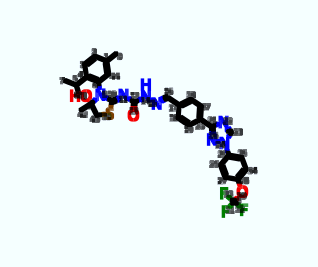 Cc1ccc(C(C)C)c(N2/C(=N/C(=O)N/N=C/c3ccc(-c4ncn(-c5ccc(OC(F)(F)F)cc5)n4)cc3)SCC2(C)O)c1